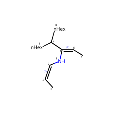 C/C=C\N/C(=C\C)C(CCCCCC)CCCCCC